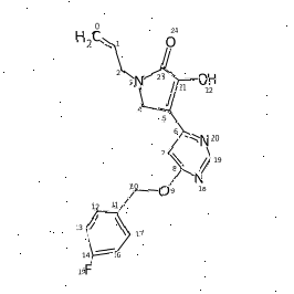 C=CCN1CC(c2cc(OCc3ccc(F)cc3)ncn2)=C(O)C1=O